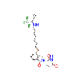 O=C1CCC(N2Cc3c(SCCCCCCCNC(C4CC4)C(F)(F)F)cccc3C2=O)C(=O)N1